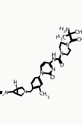 C=C(N1CCN(C(=O)Nc2ccn(-c3ccc(CN4CC5C(N)[C@@H]5C4)c(C)c3)c(=O)n2)CC1)C(C)(C)N